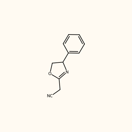 N#CCC1=NC(c2ccccc2)CO1